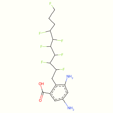 Nc1cc(N)c(CC(F)C(F)C(F)C(F)C(F)C(F)CCCF)c(C(=O)O)c1